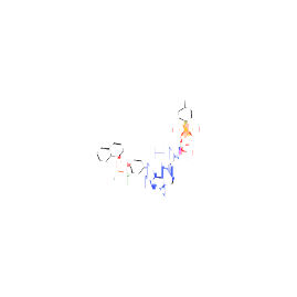 Cc1ccc(S(=O)(=O)OCC(=O)NCCn2ccc3ncnc(Nc4ccc(Oc5cccc6ccccc56)c(Cl)c4)c32)cc1